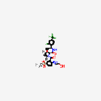 CS(=O)(=O)c1ccc(NCCO)c(C(=O)N2[C@@H](C(=O)NC(c3ccc(C(F)(F)F)cc3F)C3CC3)C[C@H]3C[C@H]32)c1